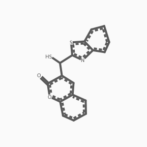 O=c1oc2ccccc2cc1C(S)c1nc2ccccc2s1